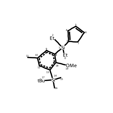 CC[Si](CC)(C1=CC=CC1)c1cc(C)cc([Si](C)(C)C(C)(C)C)c1OC